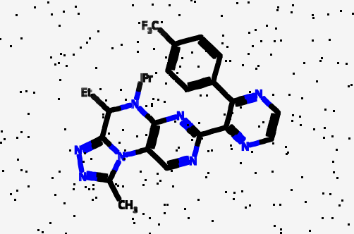 CCC1c2nnc(C)n2-c2cnc(-c3nccnc3-c3ccc(C(F)(F)F)cc3)nc2N1C(C)C